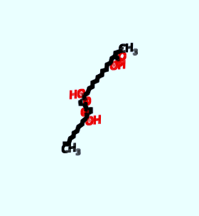 CCCCCCCCCC[C@@H](O)[C@H]1CC[C@H]([C@H]2CC[C@H]([C@H](O)CCCCCCCCCC[C@@H](O)CC3=C[C@H](C)OC3=O)O2)O1